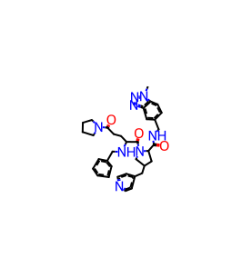 Cn1nnc2cc(CNC(=O)C3CC(Cc4ccncc4)CN3C(=O)C(CCC(=O)N3CCCC3)NCc3ccccc3)ccc21